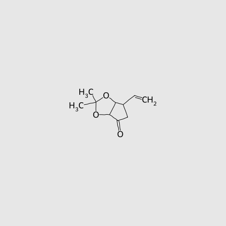 C=CC1CC(=O)C2OC(C)(C)OC12